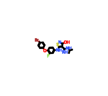 CC(C)NC(=N)c1c(O)nsc1Nc1ccc(Oc2ccc(Br)cc2)c(F)c1